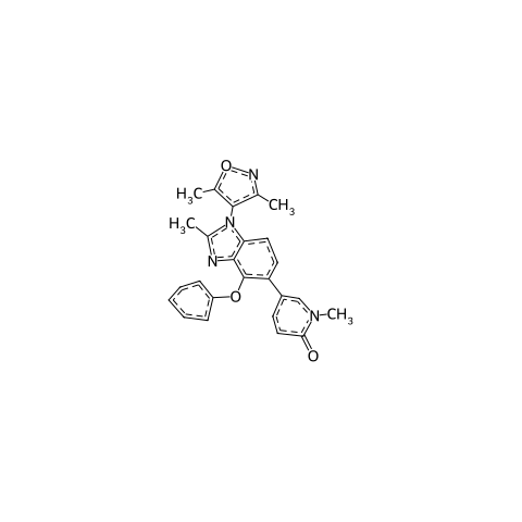 Cc1noc(C)c1-n1c(C)nc2c(Oc3ccccc3)c(-c3ccc(=O)n(C)c3)ccc21